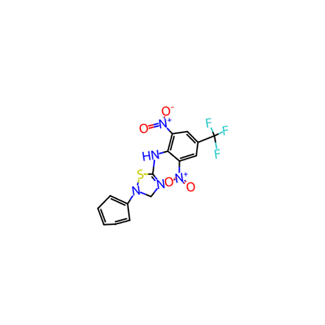 O=[N+]([O-])c1cc(C(F)(F)F)cc([N+](=O)[O-])c1NC1=NCN(c2ccccc2)S1